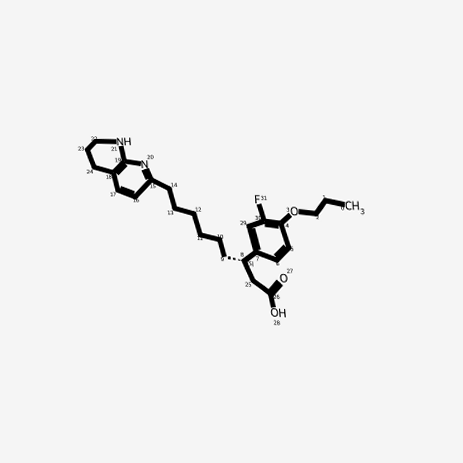 CCCOc1ccc([C@@H](CCCCCCc2ccc3c(n2)NCCC3)CC(=O)O)cc1F